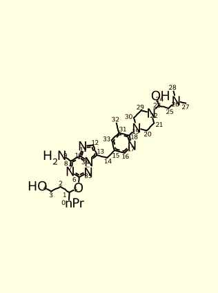 CCCC(CCO)Oc1nc(N)c2ncc(Cc3cnc(N4CCN(C(O)CN(C)C)CC4)c(C)c3)n2n1